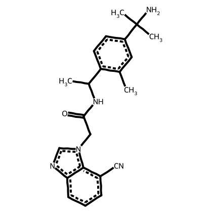 Cc1cc(C(C)(C)N)ccc1C(C)NC(=O)Cn1cnc2cccc(C#N)c21